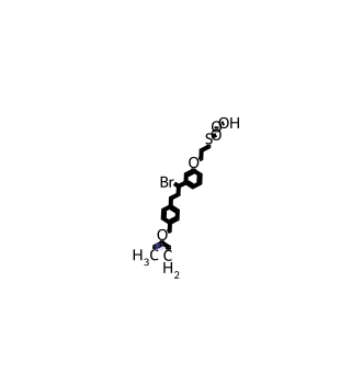 C=C/C(=C\C)OCc1ccc(CCC(Br)c2cccc(OCCCSOOO)c2)cc1